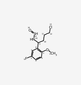 COc1ccc(F)cc1C(CCCCl)N[SH]=O